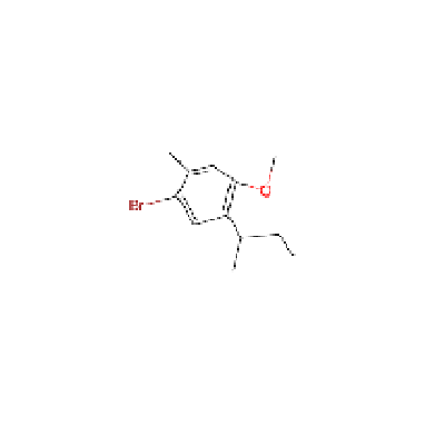 CCC(C)c1cc(Br)c(C)cc1OC